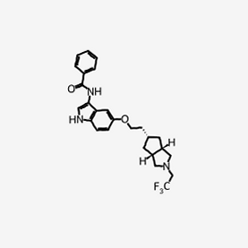 O=C(Nc1c[nH]c2ccc(OCC[C@@H]3C[C@@H]4CN(CC(F)(F)F)C[C@@H]4C3)cc12)c1ccccc1